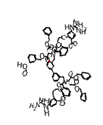 N=C(N)Nc1ccc2c(c1)CCCOc1c(cccc1C(=O)N(Cc1cccc(-c3cccc(CN(C(=O)c4cccc5c4OCCCc4cc(NC(=N)N)ccc4C(=O)O5)[C@@H](CC(=O)OCc4ccccc4)C(=O)OCc4ccccc4)c3)c1)[C@@H](CC(=O)OCc1ccccc1)C(=O)OCc1ccccc1)OC2=O.O=CO